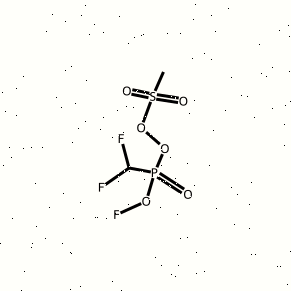 CS(=O)(=O)OOP(=O)(OF)C(F)F